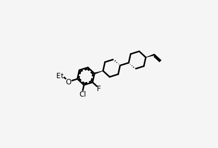 C=C[C@H]1CC[C@H]([C@H]2CC[C@H](c3ccc(OCC)c(Cl)c3F)CC2)CC1